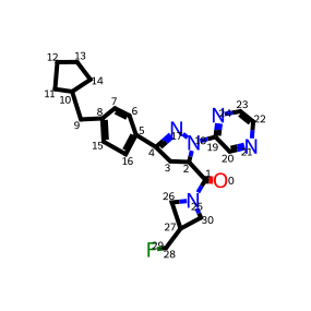 O=C(C1CC(c2ccc(CC3CCCC3)cc2)=NN1c1cnccn1)N1CC(CF)C1